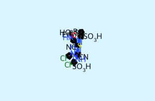 CCCCC(CC)C(=O)Nc1ccc(-c2c(/N=N/c3cc(S(=O)(=O)O)c4cccc(S(=O)(=O)O)c4c3)sc(N=Nc3c(Nc4ccc(Cl)cc4)nc(Nc4ccc(Cl)c(S(=O)(=O)O)c4)c(C#N)c3C)c2C#N)cc1